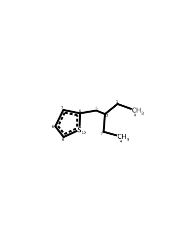 CCC(CC)Cc1cccs1